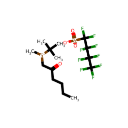 CCCCC(=O)C[S+](C)C(C)(C)C.O=S(=O)([O-])C(F)(F)C(F)(F)C(F)(F)C(F)(F)F